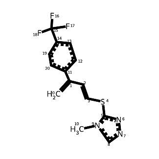 C=C(/C=C/Sc1nncn1C)c1ccc(C(F)(F)F)cc1